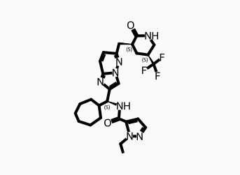 CCn1nccc1C(=O)N[C@H](c1cn2nc(C[C@@H]3C[C@H](C(F)(F)F)CNC3=O)ccc2n1)C1CCCCCC1